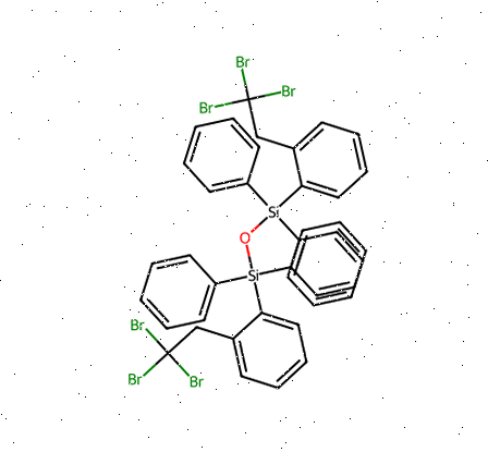 BrC(Br)(Br)Cc1ccccc1[Si](O[Si](c1ccccc1)(c1ccccc1)c1ccccc1CC(Br)(Br)Br)(c1ccccc1)c1ccccc1